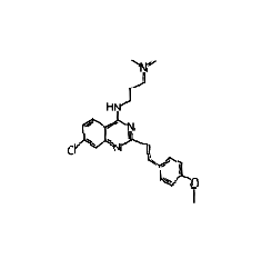 COc1ccc(C=Cc2nc(NCCCN(C)C)c3ccc(Cl)cc3n2)cc1